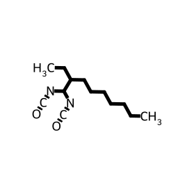 CCCCCCCC(CC)C(N=C=O)N=C=O